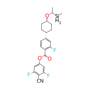 C[SiH2]C(C)O[C@H]1CC[C@H](c2ccc(C(=O)Oc3cc(F)c(C#N)c(F)c3)c(F)c2)CC1